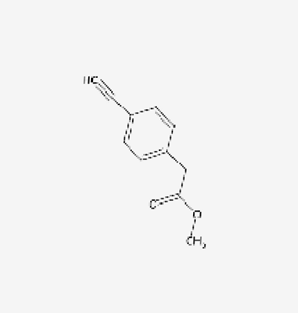 C#Cc1ccc(CC(=O)OC)cc1